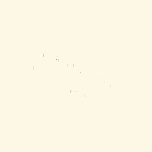 Cc1[nH]c(NC(=O)NC2CC(C)(C)CC(C)(CN=C=O)C2)nc(=O)c1C